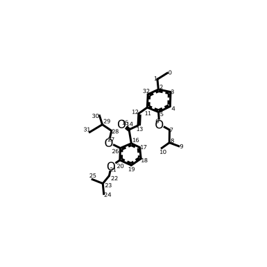 CCc1ccc(OCC(C)C)c(/C=C/C(=O)c2cccc(OCC(C)C)c2OCC(C)C)c1